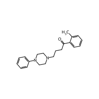 Cc1ccccc1C(=O)CCCN1CCN(c2ccccc2)CC1